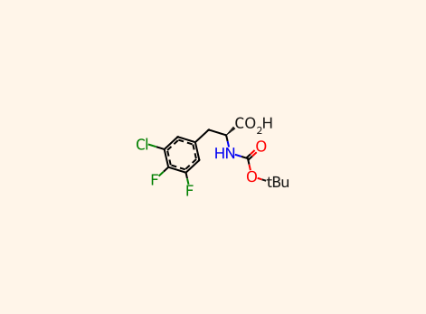 CC(C)(C)OC(=O)N[C@@H](Cc1cc(F)c(F)c(Cl)c1)C(=O)O